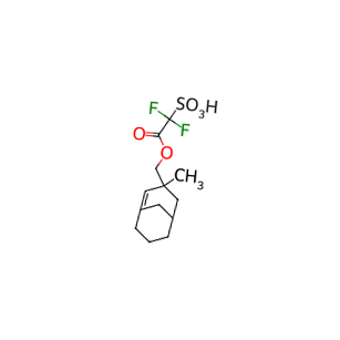 CC1(COC(=O)C(F)(F)S(=O)(=O)O)C=C2CCCC(C2)C1